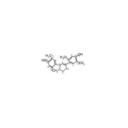 Cc1cc(C2=CC(c3cc(C)c(O)cc3C)CCC2)c(C)cc1O